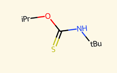 CC(C)OC(=S)NC(C)(C)C